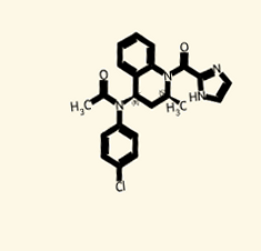 CC(=O)N(c1ccc(Cl)cc1)[C@@H]1C[C@H](C)N(C(=O)c2ncc[nH]2)c2ccccc21